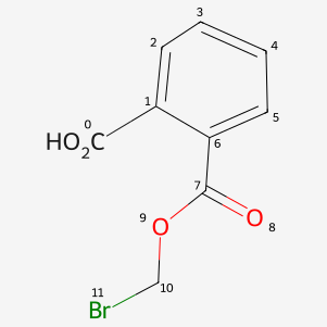 O=C(O)c1ccccc1C(=O)OCBr